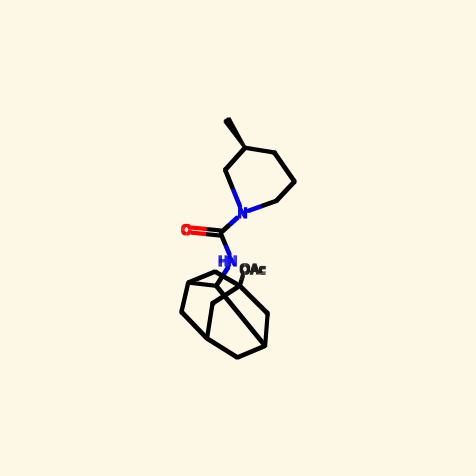 CC(=O)OC12CC3CC(C1)C(NC(=O)N1CCC[C@H](C)C1)C(C3)C2